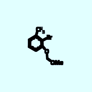 COCOc1cccc(C(F)(F)F)c1Br